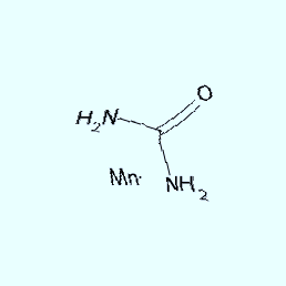 NC(N)=O.[Mn]